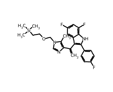 C=C(c1ncn(COCC[Si](C)(C)C)c1C)c1c(-c2ccc(F)cc2)[nH]c2c(F)cc(F)cc12